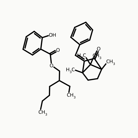 CC12CCC(C)(C(=Cc3ccccc3)C1=O)C2(C)C.CCCCC(CC)COC(=O)c1ccccc1O